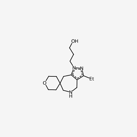 CCc1nn(CCCO)c2c1CNCC1(CCOCC1)C2